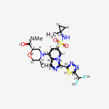 CNC(=O)[C@H]1CN(c2cc(S(=O)(=O)NC3(C)CC3)cn3c(-c4nnc(C(F)F)s4)ncc23)[C@@H](C)CO1